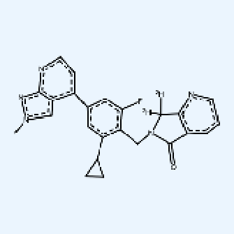 [2H]C1([2H])c2ncccc2C(=O)N1Cc1c(F)cc(-c2ccnc3nn(C)cc23)cc1C1CC1